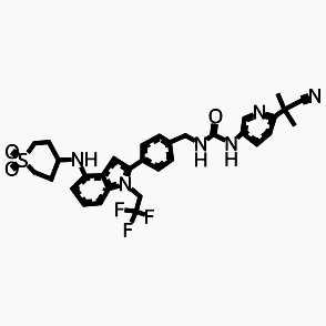 CC(C)(C#N)c1ccc(NC(=O)NCc2ccc(-c3cc4c(NC5CCS(=O)(=O)CC5)cccc4n3CC(F)(F)F)cc2)cn1